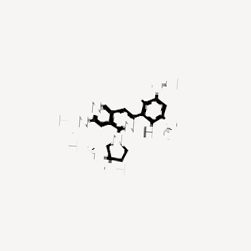 COc1cc(OC)c(F)c(-c2cc3cnc(N)cc3c(N3CCC(C)(OC)C3)n2)c1F